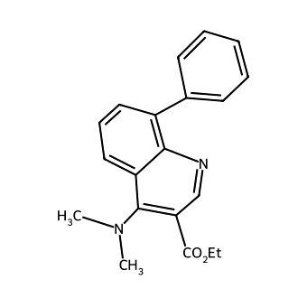 CCOC(=O)c1cnc2c(-c3ccccc3)cccc2c1N(C)C